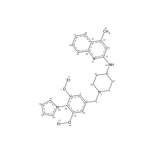 CCOc1cc(CN2CCC(Nc3cc(C)c4ccccc4n3)CC2)cc(OCC)c1-n1cccc1